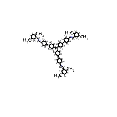 Cc1ccc(C)c(/C=C/c2ccc(-c3ccc(N(c4ccc(-c5ccc(/C=C/c6cc(C)ccc6C)cc5)cc4)c4ccc(-c5ccc(/C=C/c6cc(C)ccc6C)cc5)cc4)cc3)cc2)c1